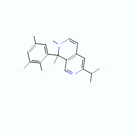 Cc1cc(C)c(C)c(C2(C)c3cnc(C(C)C)cc3C=CN2C)c1